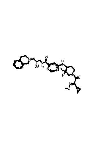 CON=C(C(=O)N1CCC(Nc2cc(C(=O)NC[C@H](O)CN3CCc4ccccc4C3)ncn2)C(F)(F)C1)C1CC1